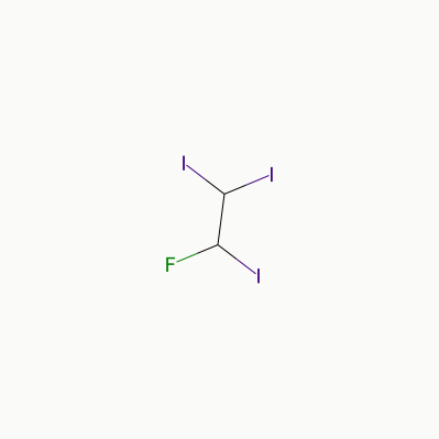 FC(I)C(I)I